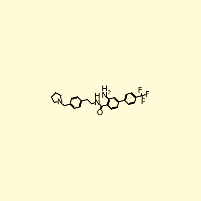 Nc1cc(-c2ccc(C(F)(F)F)cc2)ccc1C(=O)NCCc1ccc(CN2CCCC2)cc1